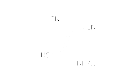 [C-]#[N+]/C(C#N)=C(\S)NC(C)=O